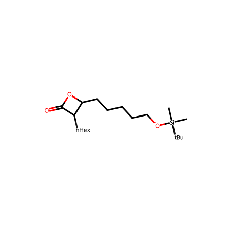 CCCCCCC1C(=O)OC1CCCCCO[Si](C)(C)C(C)(C)C